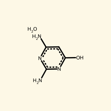 Nc1cc(O)nc(N)n1.O